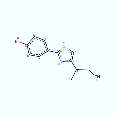 CC(CC#N)c1csc(-c2ccc(Br)cc2)n1